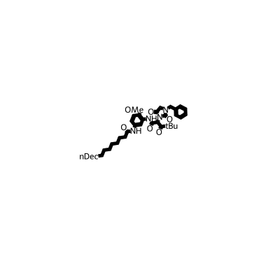 CCCCCCCCCCCCCCCCCC(=O)Nc1ccc(OC)c(NC(=O)C(C(=O)C(C)(C)C)N2C(=O)CN(Cc3ccccc3)C2=O)c1